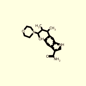 CC(c1ccc2c(C(N)=O)c[nH]c2c1)C(C)C(O)N1CCOCC1